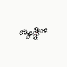 CC1(C)c2ccccc2-c2cc(-n3c4ccccc4c4cc(-c5cccc(-c6ccccc6N(c6ccc(-c7ccccc7)cc6)c6ccc(-c7ccccc7)cc6)c5)ccc43)ccc21